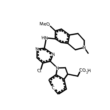 COc1cc2c(cc1Nc1ncc(Cl)c(N3CC(CC(=O)O)c4ccccc43)n1)CN(C)CC2